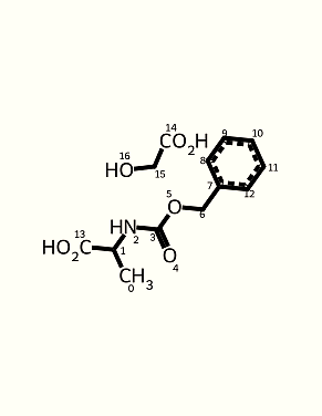 CC(NC(=O)OCc1ccccc1)C(=O)O.O=C(O)CO